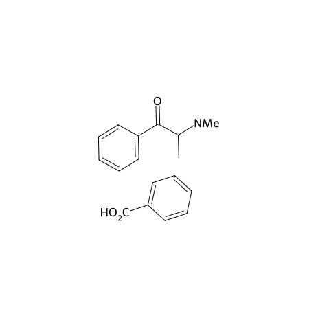 CNC(C)C(=O)c1ccccc1.O=C(O)c1ccccc1